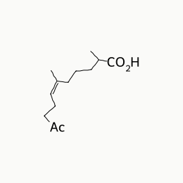 CC(=O)CCC=C(C)CCCC(C)C(=O)O